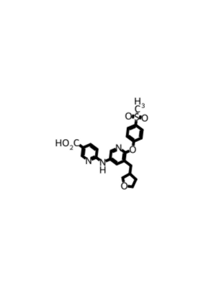 CS(=O)(=O)c1ccc(Oc2ncc(Nc3ccc(C(=O)O)cn3)cc2CC2CCOC2)cc1